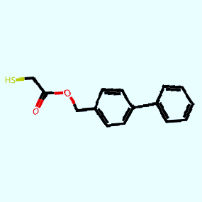 O=C(CS)OCc1ccc(-c2ccccc2)cc1